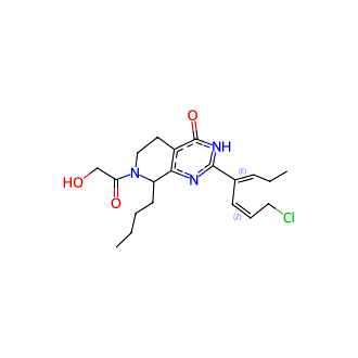 CC/C=C(\C=C/CCl)c1nc2c(c(=O)[nH]1)CCN(C(=O)CO)C2CCCC